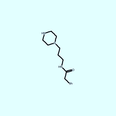 CC(C)CC(=O)NCCCN1CCNCC1